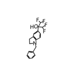 OC(c1ccc2c(c1)CCN2Cc1ccccc1)(C(F)F)C(F)F